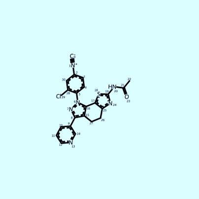 [C-]#[N+]c1ccc(-n2nc(-c3cccnc3)c3c2-c2sc(NC(C)=O)nc2CC3)c(Cl)c1